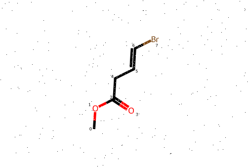 COC(=O)CC=CBr